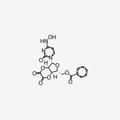 O=C1O[C@@H]2[C@H](OC1=O)[C@@H](COC(=O)c1ccccc1)O[C@H]2n1ccc(NO)nc1=O